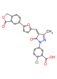 CC1=NN(c2ccc(Cl)c(C(=O)O)c2)C(=O)/C1=C\c1ccc(-c2ccc3c(c2)C(=O)OC3)o1